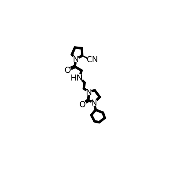 N#C[C@@H]1CCCN1C(=O)CNCCN1CCN(C2CCCCC2)C1=O